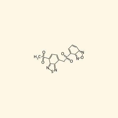 CS(=O)(=O)c1ccc(CS(=O)(=O)c2cccc3nonc23)c2nsnc12